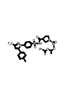 Cc1ccc(-c2cc(C(F)(F)F)nn2-c2ccc(S(=O)(=O)NC(=O)C3CCN(n4on4OC(C)OC(=O)C(C)C)C3)cc2)cc1